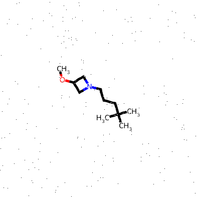 COC1CN(CCCC(C)(C)C)C1